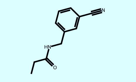 CCC(=O)NCc1cccc(C#N)c1